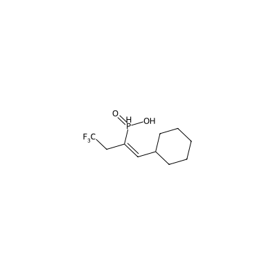 O=[PH](O)C(=CC1CCCCC1)CC(F)(F)F